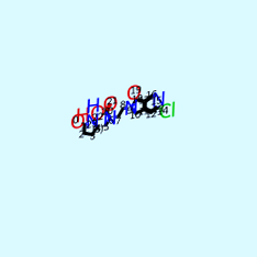 O=C1CC[C@@H](CN(CCN2Cc3cc(Cl)ncc3C2=O)C(=O)O)N1